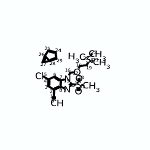 C#Cc1cc(Cl)cc2c1nc(S(C)(=O)=O)n2COCC[Si](C)(C)C.c1cc2cc-2c1